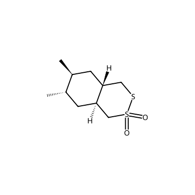 C[C@H]1C[C@@H]2CS(=O)(=O)SC[C@H]2C[C@@H]1C